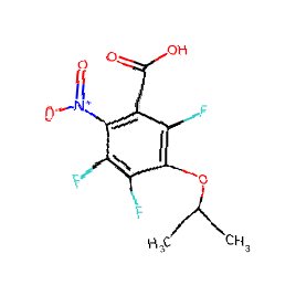 CC(C)Oc1c(F)c(F)c([N+](=O)[O-])c(C(=O)O)c1F